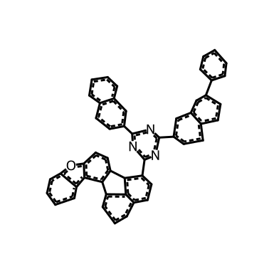 c1ccc(-c2ccc3ccc(-c4nc(-c5ccc6ccccc6c5)nc(-c5ccc6cccc7c6c5-c5ccc6oc8ccccc8c6c5-7)n4)cc3c2)cc1